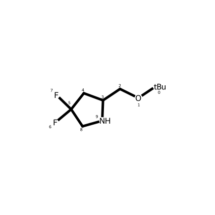 CC(C)(C)OCC1CC(F)(F)CN1